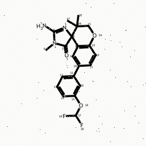 CN1C(=O)C2(N=C1N)c1cc(-c3cccc(OC(F)F)c3)ccc1OCC2(C)C